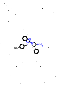 N#Cc1ccc(Cn2c(N3C[C@@H](N)[C@H](c4ccccc4)C3)nc3ccccc32)cc1